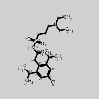 CCN(CC)CCCS(=O)(=O)NC(=O)Cc1c(C(C)C)cc(Cl)cc1C(C)C